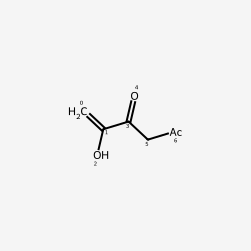 C=C(O)C(=O)CC(C)=O